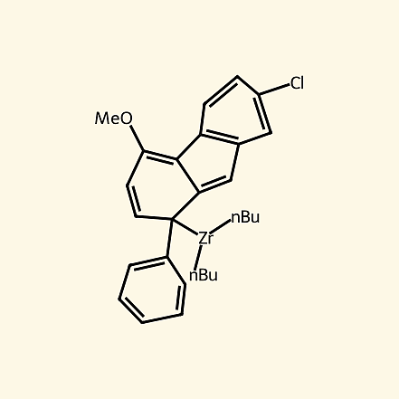 CCC[CH2][Zr]([CH2]CCC)[C]1(c2ccccc2)C=CC(OC)=C2C1=Cc1cc(Cl)ccc12